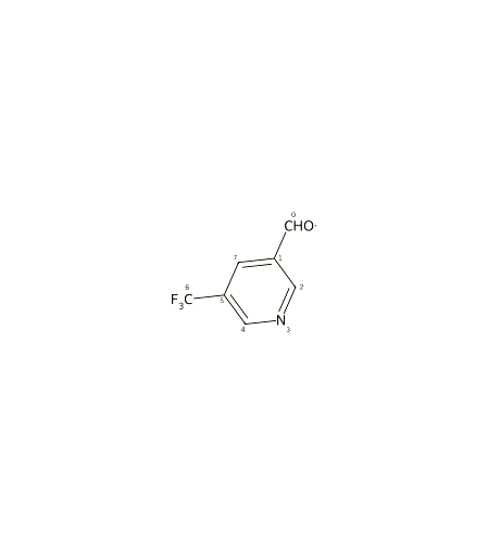 O=[C]c1cncc(C(F)(F)F)c1